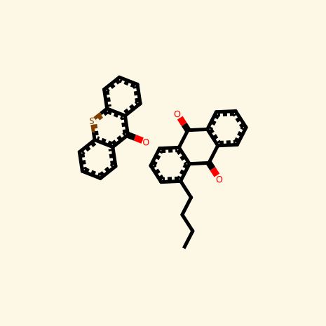 CCCCc1cccc2c1C(=O)c1ccccc1C2=O.O=c1c2ccccc2sc2ccccc12